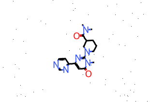 CN(C)C(=O)C1CCCN(c2nc(-c3ccncn3)cc(=O)n2C)C1